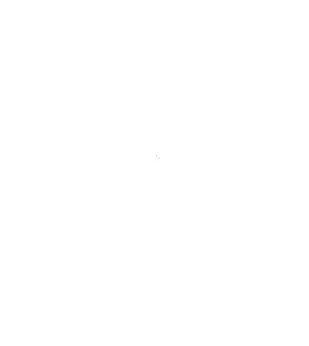 C=Cc1nc(F)ccc1/C=C\C